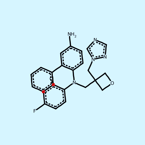 Nc1ccc(N(CC2(Cn3cncn3)COC2)c2ccc(F)cc2Cl)c(-c2ccccc2)c1